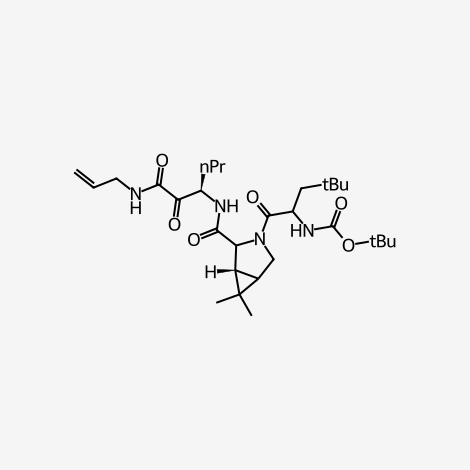 C=CCNC(=O)C(=O)[C@@H](CCC)NC(=O)C1[C@@H]2C(CN1C(=O)C(CC(C)(C)C)NC(=O)OC(C)(C)C)C2(C)C